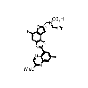 COc1cnc2c(-c3nc4cc(F)c5c(c4s3)C[C@@H](CN(CC(C)C)C(=O)O)O5)cc(C)cc2n1